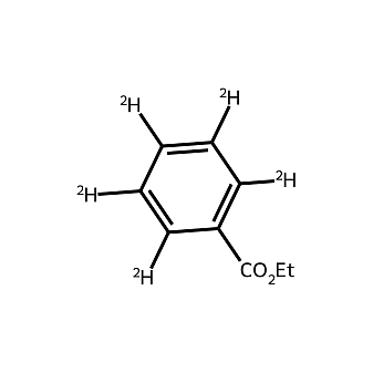 [2H]c1c([2H])c([2H])c(C(=O)OCC)c([2H])c1[2H]